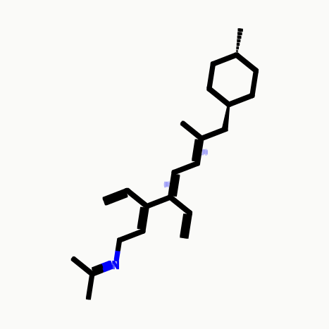 C=CC(=CCN=C(C)C)/C(C=C)=C/C=C(\C)C[C@H]1CC[C@H](C)CC1